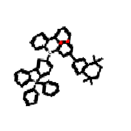 CC1(C)CCC(C)(C)c2cc(-c3cccc(N(c4ccc5c(c4)-c4ccccc4[Si]5(c4ccccc4)c4ccccc4)c4ccccc4-c4ccccc4)c3)ccc21